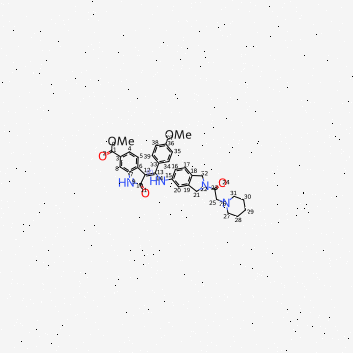 COC(=O)c1ccc2c(c1)NC(=O)/C2=C(\Nc1ccc2c(c1)CN(C(=O)CN1CCCCC1)C2)c1ccc(OC)cc1